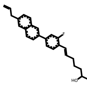 C=CCc1ccc2cc(-c3ccc(C=CCCCC(C)O)c(F)c3)ccc2c1